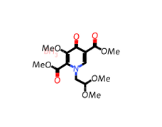 B.COC(=O)c1cn(CC(OC)OC)c(C(=O)OC)c(OC)c1=O